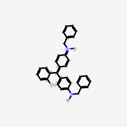 CCN(Cc1ccccc1)c1ccc(C(=C2C=CC(=[N+](CC)Cc3ccccc3)C=C2)c2ccccc2C(=O)O)cc1